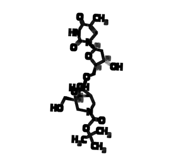 Cc1cn([C@H]2C[C@H](O)[C@@H](CO[C@@H]3O[C@@]4(CO)CN(C(=O)OC(C)(C)C)CC3[C@@H]4O)O2)c(=O)[nH]c1=O